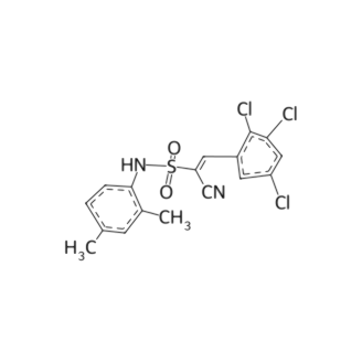 Cc1ccc(NS(=O)(=O)C(C#N)=Cc2cc(Cl)cc(Cl)c2Cl)c(C)c1